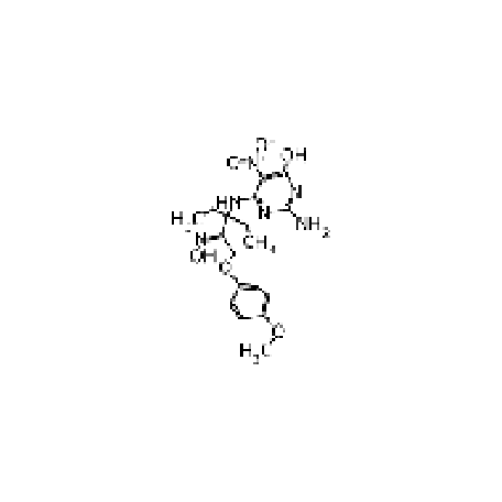 CCC(CC)(Nc1nc(N)nc(O)c1[N+](=O)[O-])C(COc1ccc(OC)cc1)=NO